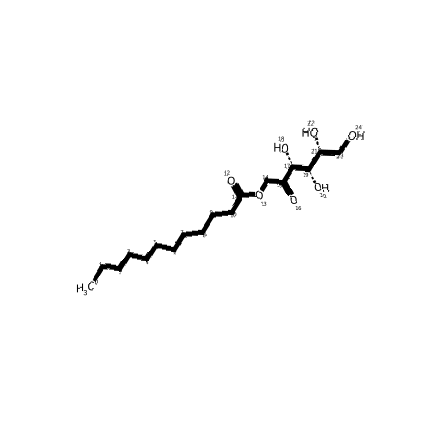 CCCCCCCCCCCC(=O)OCC(=O)[C@H](O)[C@@H](O)[C@H](O)CO